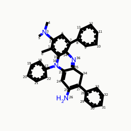 Cc1c(N(C)C)cc(-c2ccccc2)c2c1N(c1ccccc1)C1=CC(N)=C(c3ccccc3)CC1=N2